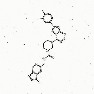 Cc1ccc(-n2cc3c(N4CCC[C@@H](C(=O)NCc5cc6c(F)csc6cn5)C4)ncnc3n2)cc1F